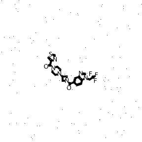 O=C(c1ccc2c(c1)ncn2CC(F)(F)F)N1CC(N2CCN(C(=O)c3cscn3)CC2)C1